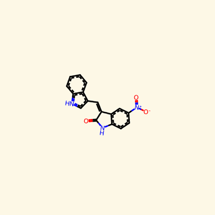 O=C1Nc2ccc([N+](=O)[O-])cc2C1=Cc1c[nH]c2ccccc12